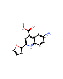 COC(=O)c1cc(-c2ccco2)nc2ccc(N)cc12